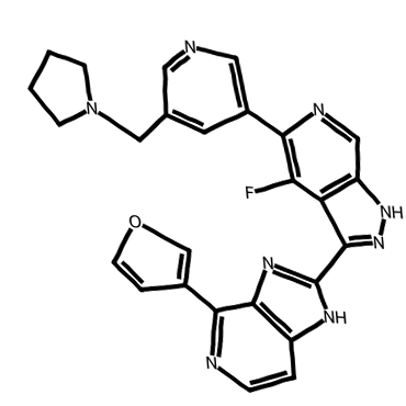 Fc1c(-c2cncc(CN3CCCC3)c2)ncc2[nH]nc(-c3nc4c(-c5ccoc5)nccc4[nH]3)c12